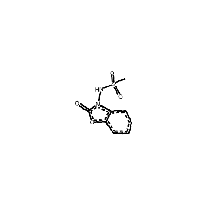 CS(=O)(=O)Nn1c(=O)oc2ccccc21